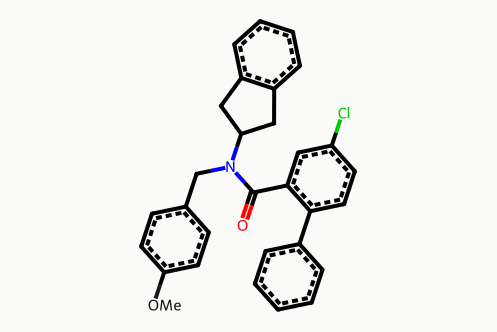 COc1ccc(CN(C(=O)c2cc(Cl)ccc2-c2ccccc2)C2Cc3ccccc3C2)cc1